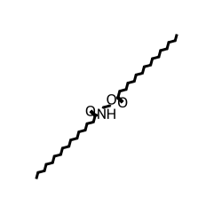 CCCCCCCCCCCCCCCC(=O)NCCOC(=O)CCCCCCCCCCCCCCC